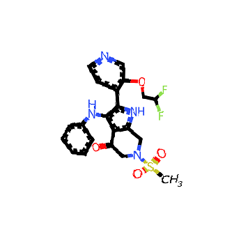 CS(=O)(=O)N1CC(=O)c2c([nH]c(-c3ccncc3OCC(F)F)c2Nc2ccccc2)C1